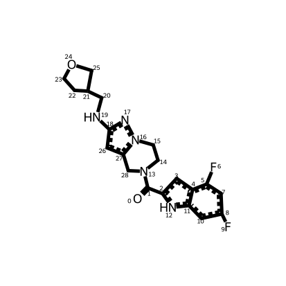 O=C(c1cc2c(F)cc(F)cc2[nH]1)N1CCn2nc(NCC3CCOC3)cc2C1